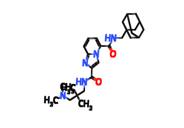 CN(C)CC(C)(C)CNC(=O)c1cn2c(C(=O)NCC34CC5CC(CC(C5)C3)C4)cccc2n1